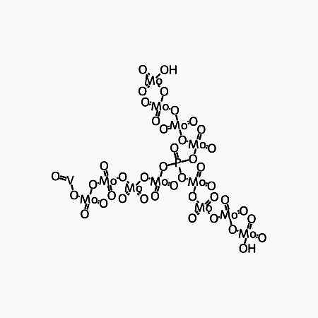 [O]=[V][O][Mo](=[O])(=[O])[O][Mo](=[O])(=[O])[O][Mo](=[O])(=[O])[O][Mo](=[O])(=[O])[O]P(=O)([O][Mo](=[O])(=[O])[O][Mo](=[O])(=[O])[O][Mo](=[O])(=[O])[O][Mo](=[O])(=[O])[OH])[O][Mo](=[O])(=[O])[O][Mo](=[O])(=[O])[O][Mo](=[O])(=[O])[O][Mo](=[O])(=[O])[OH]